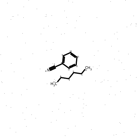 CCCCCC.N#Cc1ccccc1